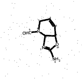 NC1=NC2C(C=CCN2C=O)O1